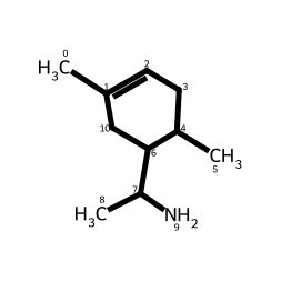 CC1=CCC(C)C(C(C)N)C1